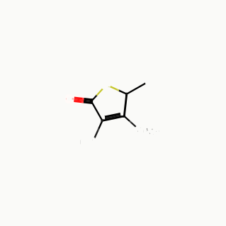 CCCC1=C(OC)C(C)SC1=O